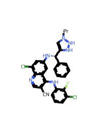 CC(C)N1C=C([C@@H](Nc2cc(Cl)c3ncc(C#N)c(Nc4cccc(Cl)c4F)c3c2)c2ccccc2)NN1